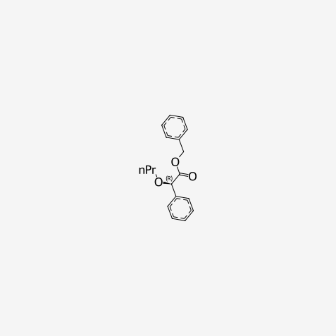 CCCO[C@@H](C(=O)OCc1ccccc1)c1ccccc1